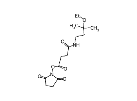 CCOC(C)(C)CCNC(=O)CCC(=O)ON1C(=O)CCC1=O